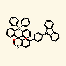 c1ccc([Si]2(c3ccccc3)c3ccccc3C3(c4ccccc4Sc4ccc(-c5ccc(-n6c7ccccc7c7ccccc76)cc5)cc43)c3ccccc32)cc1